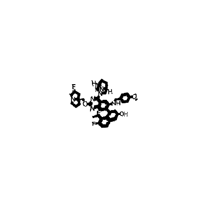 CCc1c(F)ccc2cc(O)cc(-c3c(NCc4ccc(OC)cc4)cc4c(N5C[C@H]6CC[C@@H](C5)N6)nc(OC[C@@]56CCCN5C[C@H](F)C6)nc4c3F)c12